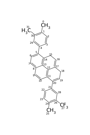 Cc1ccc(-c2ccc3ccc4c5c3c2CC=C5CC=C4c2ccc(C)c(C(F)(F)F)c2)cc1C